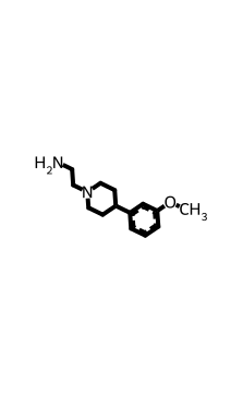 COc1cccc(C2CCN(CCN)CC2)c1